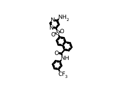 Nc1cc(S(=O)(=O)c2ccc3c(C(=O)Nc4cccc(C(F)(F)F)c4)cccc3c2)ncn1